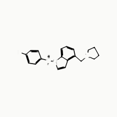 O=S(=O)(c1ccc(F)cc1)n1ccc2c(CN3CCCC3)cccc21